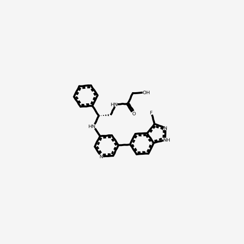 O=C(CO)NC[C@H](Nc1cncc(-c2ccc3[nH]nc(F)c3c2)c1)c1ccccc1